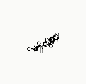 CN1CCc2cc(C(=O)N3C[C@H](NC(=O)c4ccc(Cl)s4)C[C@H]3C(=O)O)ccc2C1